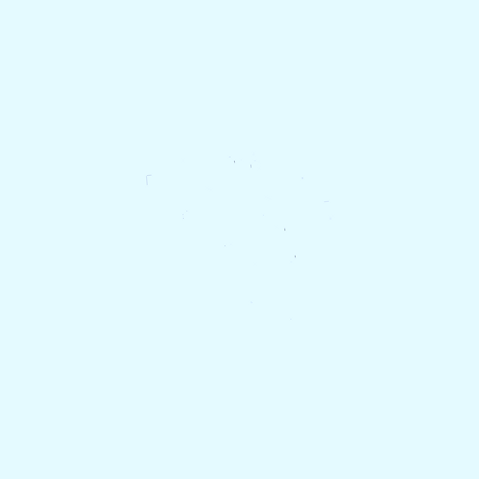 O=S(=O)(CF)C(=Cc1ccco1)S(=O)(=O)CF